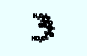 Cc1ccc(OC2CN(C(=O)CCC(=O)O)C2)c(C(C)(C)C)c1